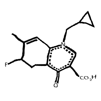 CC1=Cc2c(c(=O)c(C(=O)O)cn2CC2CC2)CC1F